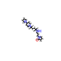 CC(C)(CCC(C)(C)N1CCC(N2CCCC2)CC1)NCCCN1CCCC1=O